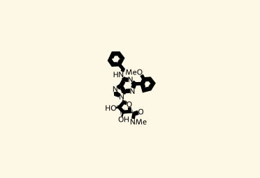 CNC(=O)[C@H]1O[C@@H](n2cnc3c(NCc4ccccc4)nc(-c4ccccc4OC)nc32)[C@H](O)[C@@H]1O